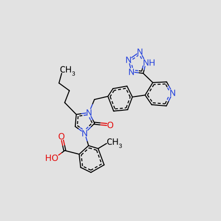 CCCCc1cn(-c2c(C)cccc2C(=O)O)c(=O)n1Cc1ccc(-c2ccncc2-c2nnn[nH]2)cc1